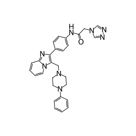 O=C(Cn1cnnc1)Nc1ccc(-c2nc3ccccn3c2CN2CCN(c3ccccc3)CC2)cc1